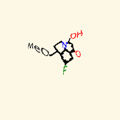 COCC1CCn2c(CO)cc(=O)c3cc(F)cc1c32